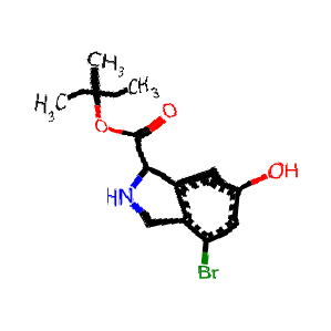 CC(C)(C)OC(=O)C1NCc2c(Br)cc(O)cc21